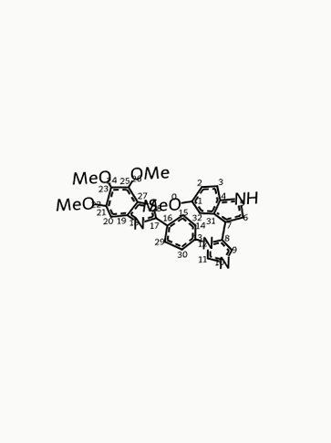 COc1ccc2[nH]cc(-c3cncn3-c3ccc(-c4nc5cc(OC)c(OC)c(OC)c5s4)cc3)c2c1